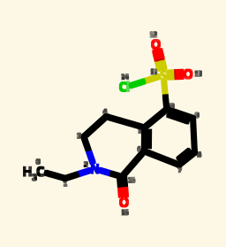 CCN1CCc2c(cccc2S(=O)(=O)Cl)C1=O